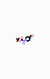 CC(C)(C)OC(=O)NN1CCC(F)(C=O)CC1